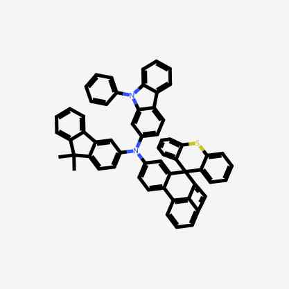 CC1(C)c2ccccc2-c2cc(N(c3ccc4c(c3)C3(c5ccccc5Sc5ccccc53)c3cccc5cccc-4c35)c3ccc4c5ccccc5n(-c5ccccc5)c4c3)ccc21